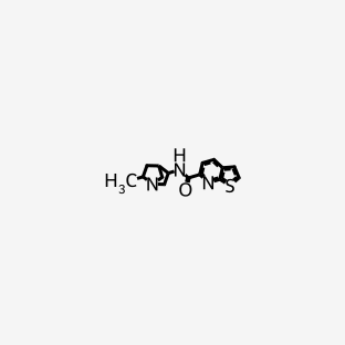 CC1CC2CN1CC2NC(=O)c1ccc2ccsc2n1